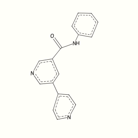 O=C(Nc1ccccc1)c1cncc(-c2ccncc2)c1